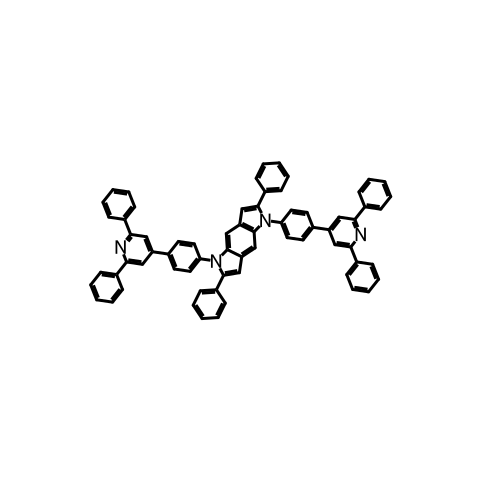 c1ccc(-c2cc(-c3ccc(-n4c(-c5ccccc5)cc5cc6c(cc(-c7ccccc7)n6-c6ccc(-c7cc(-c8ccccc8)nc(-c8ccccc8)c7)cc6)cc54)cc3)cc(-c3ccccc3)n2)cc1